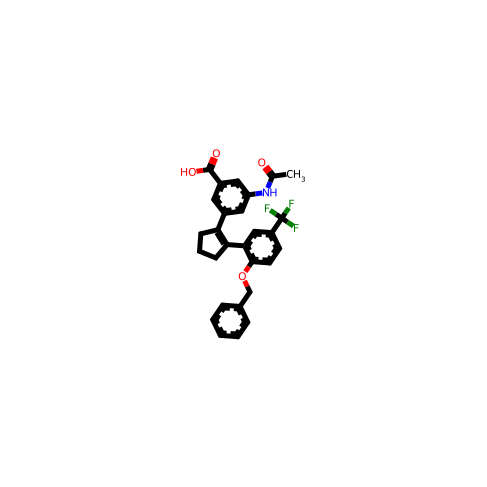 CC(=O)Nc1cc(C(=O)O)cc(C2=C(c3cc(C(F)(F)F)ccc3OCc3ccccc3)CCC2)c1